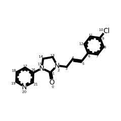 O=C1N(CC=Cc2ccc(Cl)cc2)CCN1c1cccnc1